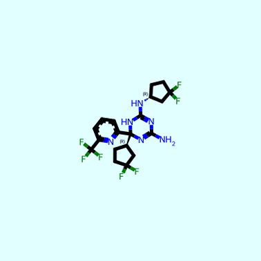 NC1=NC(c2cccc(C(F)(F)F)n2)([C@@H]2CCC(F)(F)C2)NC(N[C@@H]2CCC(F)(F)C2)=N1